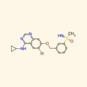 CS(=N)(=O)c1cccc(COc2cc3ncnc(NC4CC4)c3cc2Br)c1